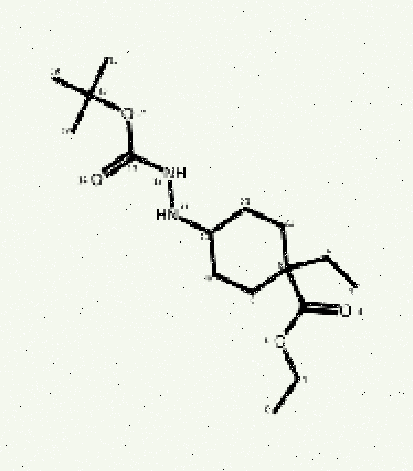 CCOC(=O)C1(CC)CCC(NNC(=O)OC(C)(C)C)CC1